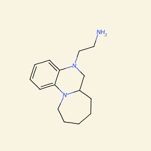 NCCN1CC2CCCCCN2c2ccccc21